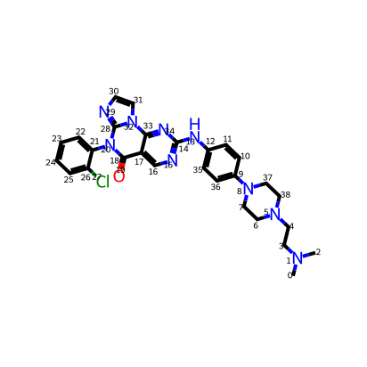 CN(C)CCN1CCN(c2ccc(Nc3ncc4c(=O)n(-c5ccccc5Cl)c5nccn5c4n3)cc2)CC1